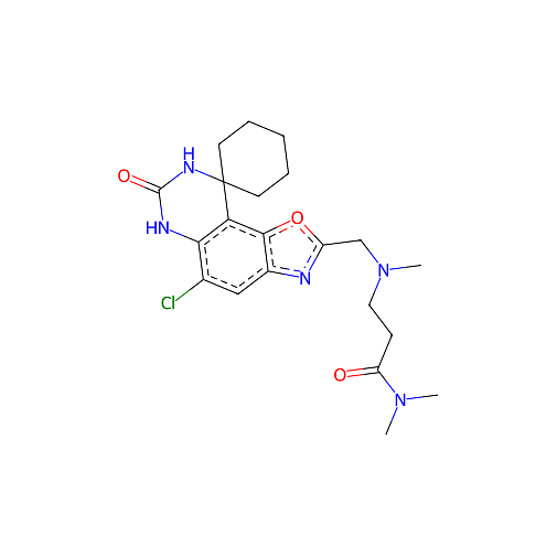 CN(CCC(=O)N(C)C)Cc1nc2cc(Cl)c3c(c2o1)C1(CCCCC1)NC(=O)N3